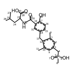 Cc1cc(CP(C)(=O)O)cc(C)c1Cc1ccc(O)c(C(=O)NC(CC(C)C)C(=O)O)c1